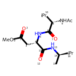 COC(=O)C[C@H](NC(=O)[C@@H](NC(C)=O)C(C)C)C(=O)N[C@H](C)C(C)C